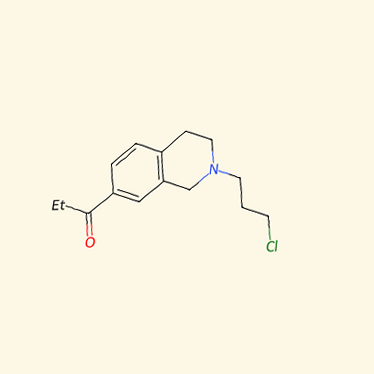 CCC(=O)c1ccc2c(c1)CN(CCCCl)CC2